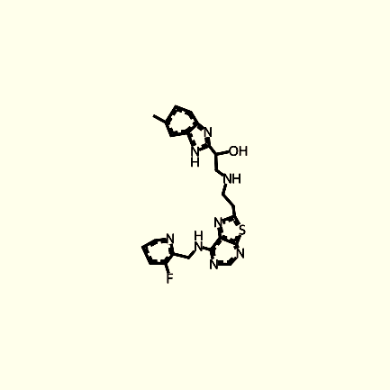 Cc1ccc2nc(C(O)CNCCc3nc4c(NCc5ncccc5F)ncnc4s3)[nH]c2c1